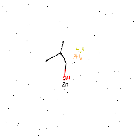 CC(C)CO.P.S.[Zn]